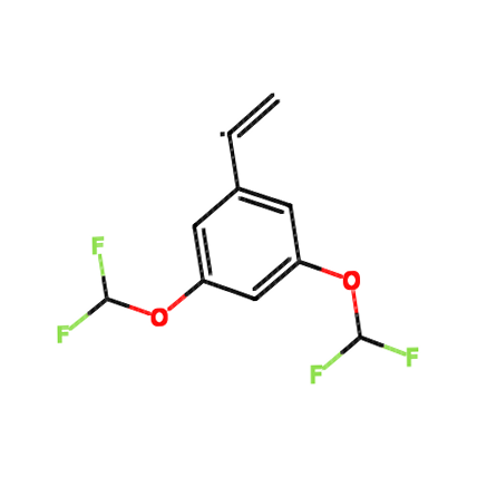 C=[C]c1cc(OC(F)F)cc(OC(F)F)c1